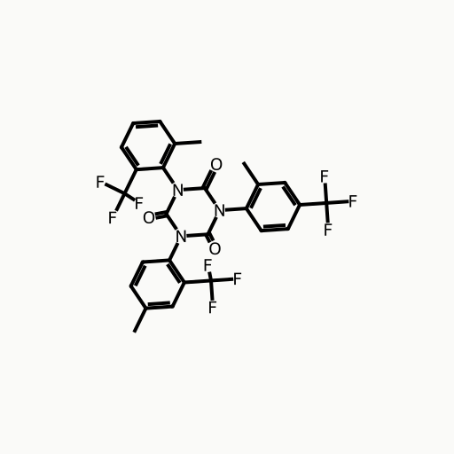 Cc1ccc(-n2c(=O)n(-c3ccc(C(F)(F)F)cc3C)c(=O)n(-c3c(C)cccc3C(F)(F)F)c2=O)c(C(F)(F)F)c1